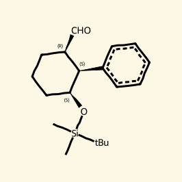 CC(C)(C)[Si](C)(C)O[C@H]1CCC[C@@H](C=O)[C@H]1c1ccccc1